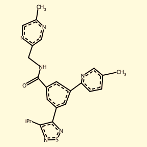 Cc1ccc(-c2cc(C(=O)NCc3cnc(C)cn3)cc(-c3nsnc3C(C)C)c2)nc1